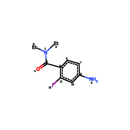 CCN(CC)C(=O)c1ccc(N)cc1I